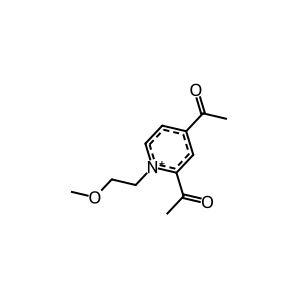 COCC[n+]1ccc(C(C)=O)cc1C(C)=O